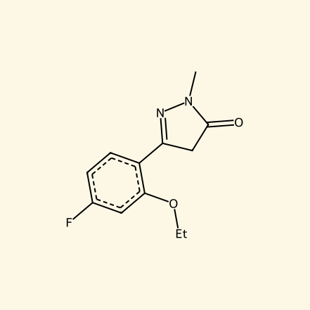 CCOc1cc(F)ccc1C1=NN(C)C(=O)C1